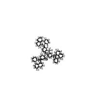 CC1(C)c2cc(N(c3ccccc3)c3cccc4ccccc34)ccc2N2c3ccc(N(c4ccccc4)c4cccc5ccccc45)cc3Sc3cc(N(c4ccccc4)c4cccc5ccccc45)cc1c32